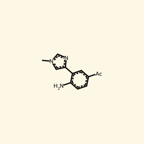 CC(=O)c1ccc(N)c(-c2cn(C)cn2)c1